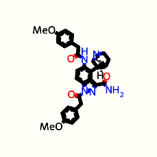 COc1ccc(CC(=O)Nc2ccc3c(c(C(N)=O)nn3C(=O)Cc3ccc(OC)cc3)c2[C@H]2CN3CCC2CC3)cc1